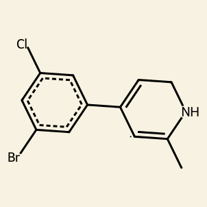 CC1=[C]C(c2cc(Cl)cc(Br)c2)=CCN1